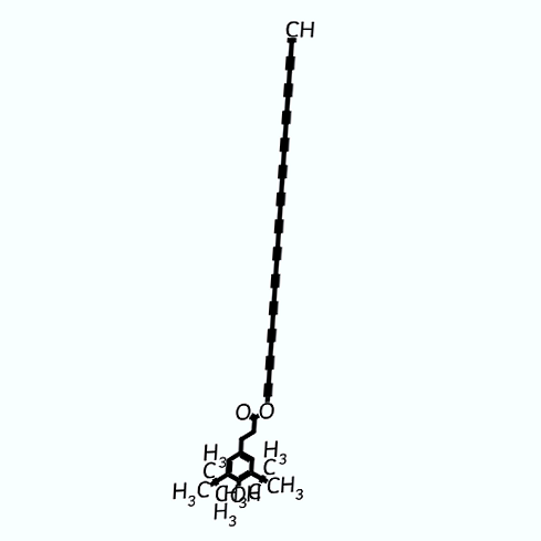 C#CC#CC#CC#CC#CC#CC#CC#CC#CC#CC#CC#CC#CC#COC(=O)CCc1cc(C(C)(C)C)c(O)c(C(C)(C)C)c1